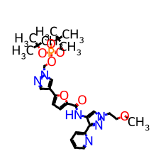 COCCn1cc(NC(=O)c2ccc(-c3cnn(COP(=O)(OC(C)(C)C)OC(C)(C)C)c3)o2)c(-c2ccccn2)n1